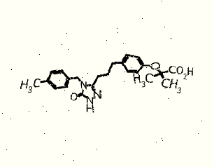 Cc1ccc(Cn2c(CCCc3ccc(OC(C)(C)C(=O)O)cc3)n[nH]c2=O)cc1